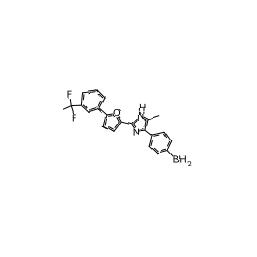 Bc1ccc(-c2nc(-c3ccc(-c4cccc(C(C)(F)F)c4)o3)[nH]c2C)cc1